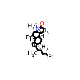 CCC1C=C2N(C)C(=O)CC[C@]2(C)[C@H]2CC[C@]3(C)[C@@H]([C@H](C)CCCC(C)C)CC[C@H]3[C@H]12